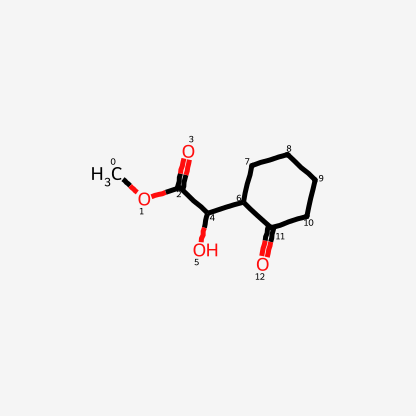 COC(=O)C(O)C1CCCCC1=O